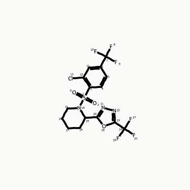 O=S(=O)(c1ccc(C(F)(F)F)cc1Cl)N1CCCCC1c1nnc(C(F)(F)F)o1